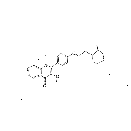 COc1c(-c2ccc(OCCC3CCCCN3C)cc2)n(C)c2ccccc2c1=O